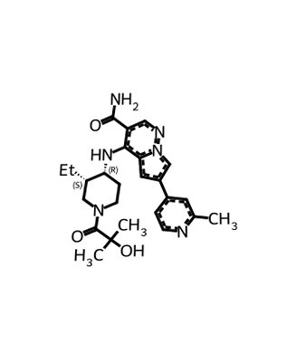 CC[C@H]1CN(C(=O)C(C)(C)O)CC[C@H]1Nc1c(C(N)=O)cnn2cc(-c3ccnc(C)c3)cc12